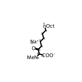 CCCCCCCCCCCCCC(=O)C(NC)C(=O)[O-].[Na+]